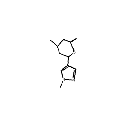 CC1CC(C)OC(c2cnn(C)c2)C1